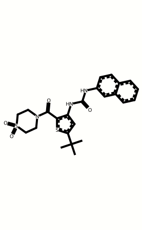 CC(C)(C)c1cc(NC(=O)Nc2ccc3ccccc3c2)c(C(=O)N2CCS(=O)(=O)CC2)s1